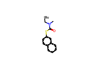 CN(CC(C)(C)C)C(=O)Sc1ccc2ccccc2c1